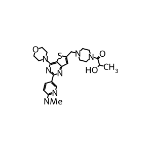 CNc1ccc(-c2nc(N3CCOCC3)c3sc(CN4CCN(C(=O)C(C)O)CC4)cc3n2)cn1